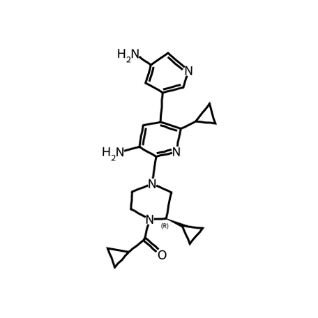 Nc1cncc(-c2cc(N)c(N3CCN(C(=O)C4CC4)[C@H](C4CC4)C3)nc2C2CC2)c1